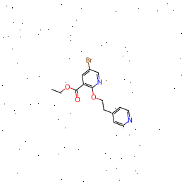 CCOC(=O)c1cc(Br)cnc1OCCc1ccncc1